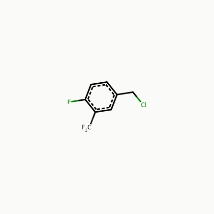 Fc1ccc(CCl)cc1C(F)(F)F